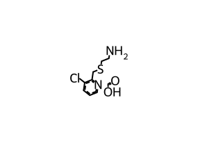 NCCSCc1ncccc1Cl.O=CO